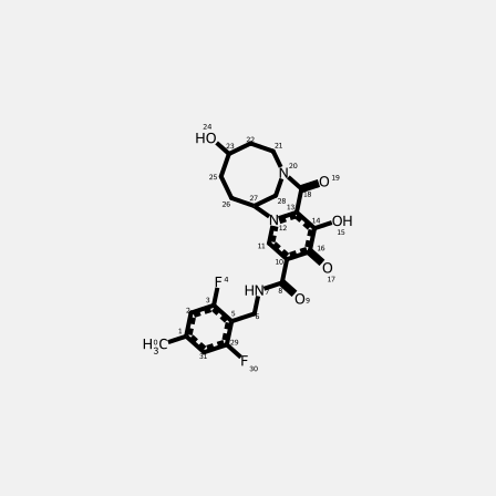 Cc1cc(F)c(CNC(=O)c2cn3c(c(O)c2=O)C(=O)N2CCC(O)CCC3C2)c(F)c1